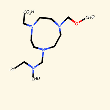 CC(C)CN(C=O)CN1CCN(COC=O)CCN(CC(=O)O)CC1